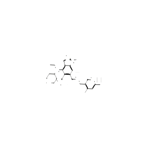 CCN(c1c(C#N)c(C(=O)NCc2c(C)cc(C)[nH]c2=O)cc2c1cnn2C)C1CCOCC1